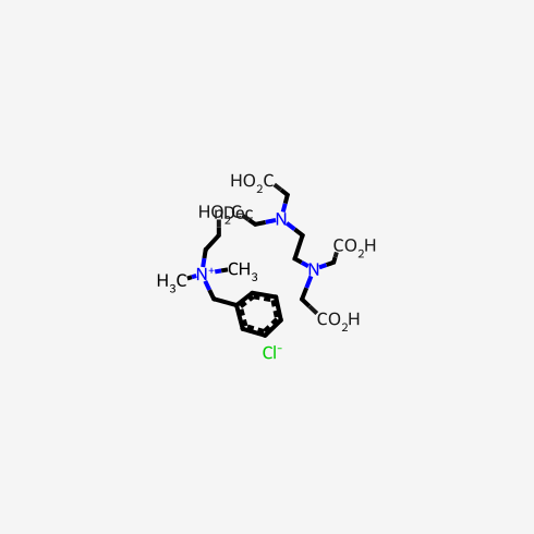 CCCCCCCCCCCC[N+](C)(C)Cc1ccccc1.O=C(O)CN(CCN(CC(=O)O)CC(=O)O)CC(=O)O.[Cl-]